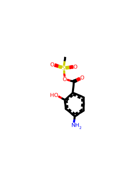 CS(=O)(=O)OC(=O)c1ccc(N)cc1O